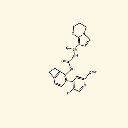 COc1cc(-c2ccc3c(c2NC(=O)N[S@+]([O-])c2cnn4c2OCCC4)CC3)c(F)cn1